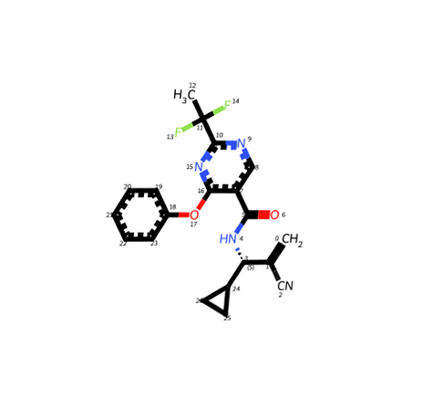 C=C(C#N)[C@@H](NC(=O)c1cnc(C(C)(F)F)nc1Oc1ccccc1)C1CC1